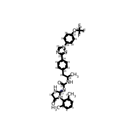 Cc1cccc(C)c1N1C(=O)CN/C1=N\C(=O)NC(C)Cc1ccc(-c2ncn(-c3ccc(OC(F)(F)F)cc3)n2)cc1